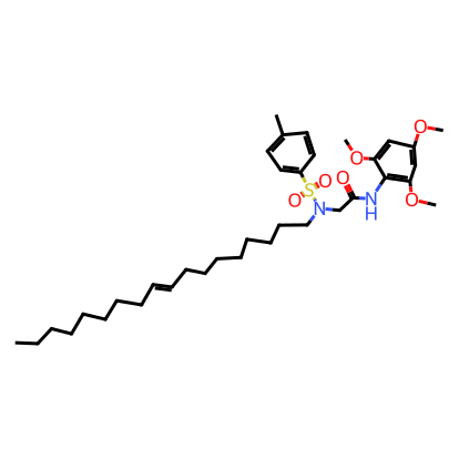 CCCCCCCCC=CCCCCCCCCN(CC(=O)Nc1c(OC)cc(OC)cc1OC)S(=O)(=O)c1ccc(C)cc1